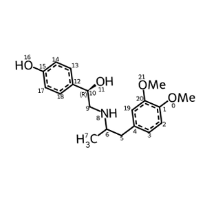 COc1ccc(CC(C)NC[C@H](O)c2ccc(O)cc2)cc1OC